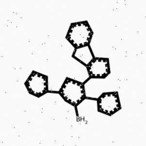 Bc1cc(-c2ccccc2)cc(-c2cccc3c2Cc2ccccc2-3)c1-c1ccccc1